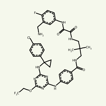 CC(C)(CNC(=O)C(=O)Nc1ccc(F)c(CN)c1)CNC(=O)c1ccc(Nc2nc(NC3(c4ccc(Cl)cc4)CC3)nc(OCC(F)(F)F)n2)cc1